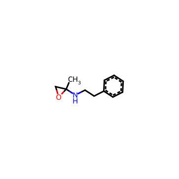 CC1(NCCc2ccccc2)CO1